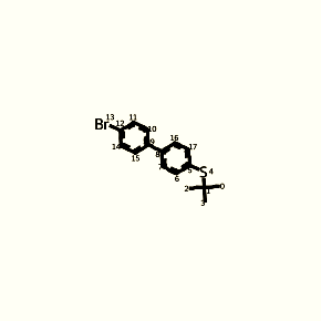 CC(C)(C)Sc1ccc(-c2ccc(Br)cc2)cc1